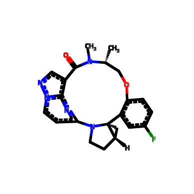 C[C@@H]1COc2ccc(F)cc2[C@@]23C[C@@H]2CCN3c2ccn3ncc(c3n2)C(=O)N1C